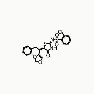 O=C1NC(=NS(=O)(=O)c2ccccc2Cl)SC1=C(Cc1ccccc1)C1=COCO1